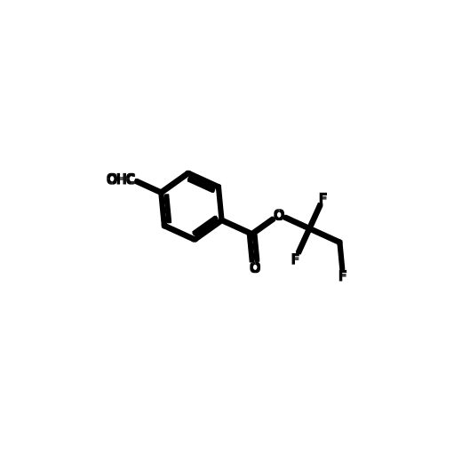 O=Cc1ccc(C(=O)OC(F)(F)CF)cc1